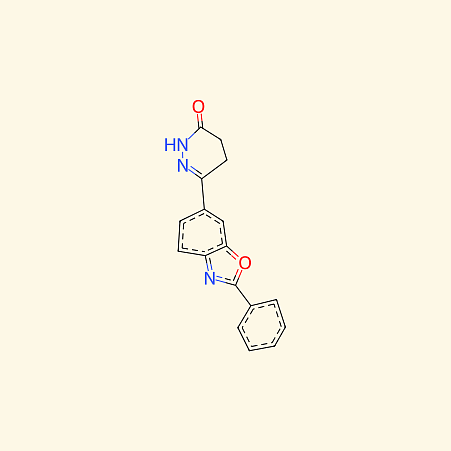 O=C1CCC(c2ccc3nc(-c4ccccc4)oc3c2)=NN1